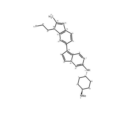 CN[C@H]1CC[C@H](Nc2ncc3c(-c4ccc5nc(C)n(CCF)c5n4)ccn3n2)CC1